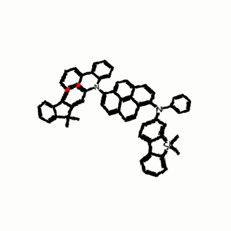 CC1(C)c2ccccc2-c2ccc(N(c3ccccc3-c3ccccc3)c3ccc4ccc5c(N(c6ccccc6)c6ccc7c(c6)[Si](C)(C)c6ccccc6-7)ccc6ccc3c4c65)cc21